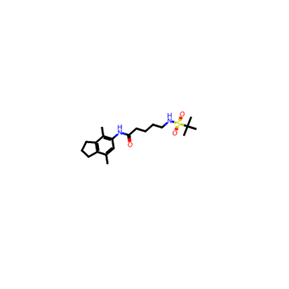 Cc1cc(NC(=O)CCCCNS(=O)(=O)C(C)(C)C)c(C)c2c1CCC2